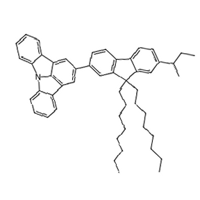 CCCCCCCCC1(CCCCCCCC)c2cc(-c3cc4c5ccccc5n5c6ccccc6c(c3)c45)ccc2-c2ccc(C(C)CC)cc21